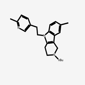 CCCCN1CCc2c(c3cc(C)ccc3n2CCc2ccc(C)nc2)C1